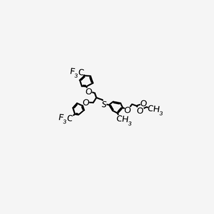 Cc1cc(SCC(COc2ccc(C(F)(F)F)cc2)COc2ccc(C(F)(F)F)cc2)ccc1OCC1OC(C)O1